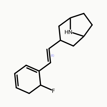 FC1CC=CC=C1/C=C/C1CC2CCC(C1)N2